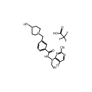 CCCN1CCN(Cc2cccc(C(=O)NN(CC(C)C)c3nc(C#N)ncc3Cl)c2)CC1.O=C(O)C(F)(F)F